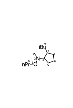 CCCON(C)C1CCCC1C(C)CC